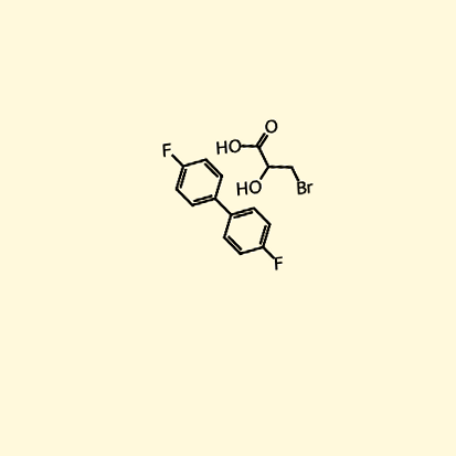 Fc1ccc(-c2ccc(F)cc2)cc1.O=C(O)C(O)CBr